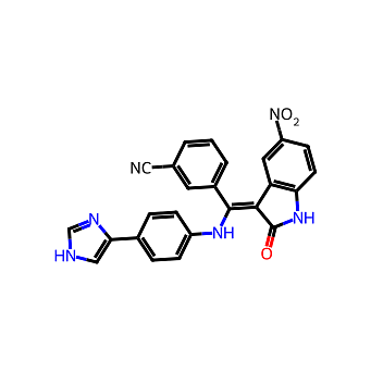 N#Cc1cccc(/C(Nc2ccc(-c3c[nH]cn3)cc2)=C2/C(=O)Nc3ccc([N+](=O)[O-])cc32)c1